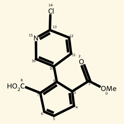 COC(=O)c1cccc(C(=O)O)c1-c1ccc(Cl)nc1